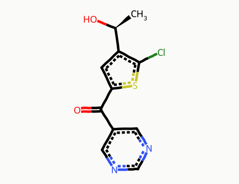 C[C@H](O)c1cc(C(=O)c2cncnc2)sc1Cl